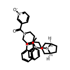 Cc1nc2ccccc2n1C1C[C@H]2CC[C@@H](C1)N2CCC1(c2ccccc2)CCN(C(=O)c2ccc[n+]([O-])c2)CC1